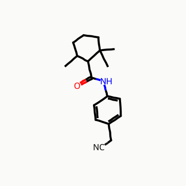 CC1CCCC(C)(C)C1C(=O)Nc1ccc(CC#N)cc1